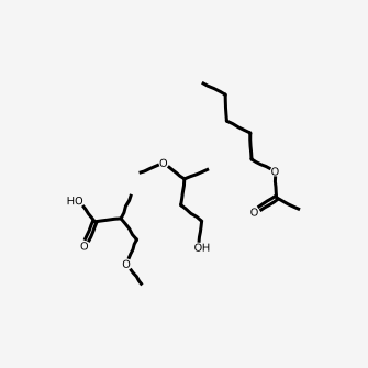 CCCCCOC(C)=O.COC(C)CCO.COCC(C)C(=O)O